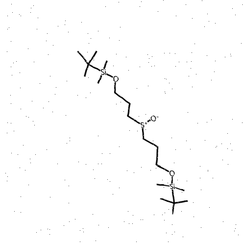 CC(C)(C)[Si](C)(C)OCCC[S+]([O-])CCCO[Si](C)(C)C(C)(C)C